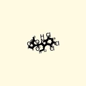 CC(=O)OC1(c2ccoc2)OCCc2c1[nH]c1c(Cl)cc(Cl)c(Cl)c21